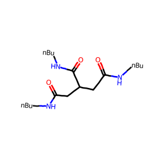 CCCCNC(=O)CC(CC(=O)NCCCC)C(=O)NCCCC